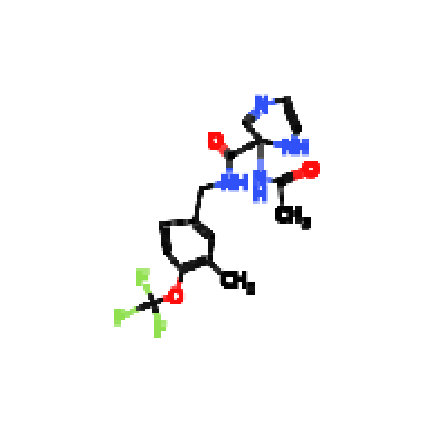 CC(=O)NC1(C(=O)NCc2ccc(OC(F)(F)F)c(C)c2)C=NC=CN1